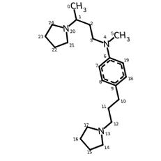 CC(CCN(C)c1ccc(CCCN2CCCC2)cc1)N1CCCC1